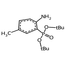 Cc1ccc(N)c(P(=O)(OC(C)(C)C)OC(C)(C)C)c1